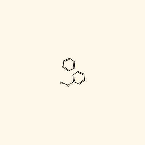 [Pt][O]c1ccccc1.c1ccncc1